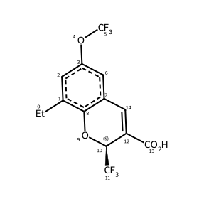 CCc1cc(OC(F)(F)F)cc2c1O[C@H](C(F)(F)F)C(C(=O)O)=C2